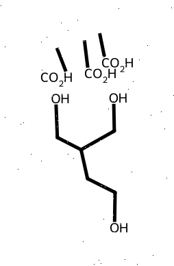 CC(=O)O.CC(=O)O.CC(=O)O.OCCC(CO)CO